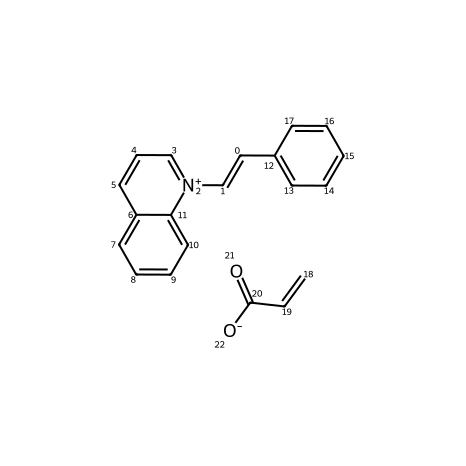 C(=C[n+]1cccc2ccccc21)c1ccccc1.C=CC(=O)[O-]